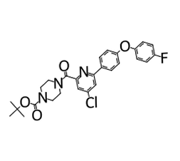 CC(C)(C)OC(=O)N1CCN(C(=O)c2cc(Cl)cc(-c3ccc(Oc4ccc(F)cc4)cc3)n2)CC1